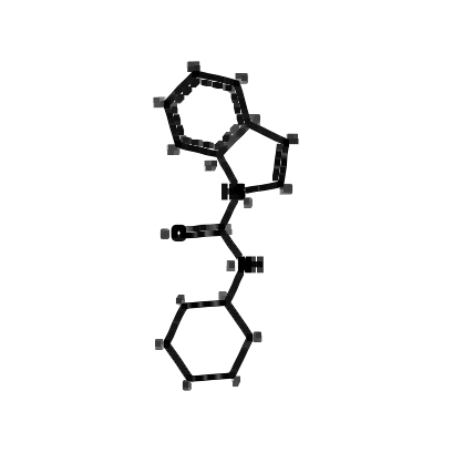 O=C(NC1CCCCC1)[SH]1C=Cc2ccccc21